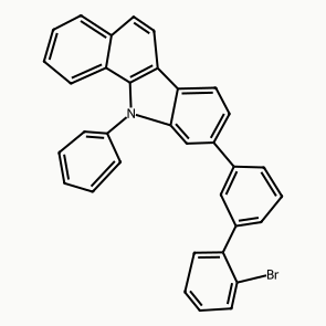 Brc1ccccc1-c1cccc(-c2ccc3c4ccc5ccccc5c4n(-c4ccccc4)c3c2)c1